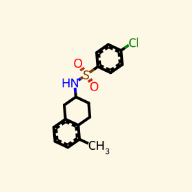 Cc1cccc2c1CCC(NS(=O)(=O)c1ccc(Cl)cc1)C2